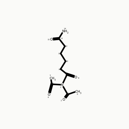 CC(=O)N(C(C)=O)C(=O)CCCCC(N)=O